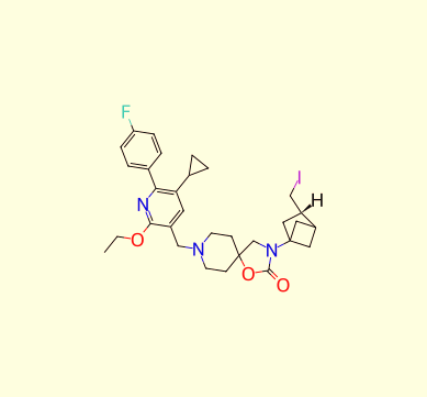 CCOc1nc(-c2ccc(F)cc2)c(C2CC2)cc1CN1CCC2(CC1)CN(C13CC(C1)[C@@H](CI)C3)C(=O)O2